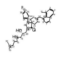 Cc1cccc2cccc(CN3CCC4(CC3)C(=O)N(C[C@@H](O)CNCCCN(C)C)CN4c3ccc(F)cc3)c12